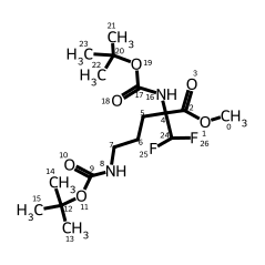 COC(=O)C(CCCNC(=O)OC(C)(C)C)(NC(=O)OC(C)(C)C)C(F)F